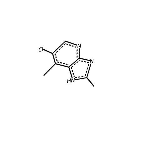 Cc1nc2ncc(Cl)c(C)c2[nH]1